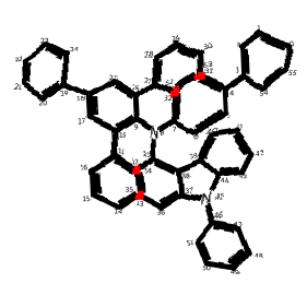 c1ccc(-c2ccc(N(c3c(-c4ccccc4)cc(-c4ccccc4)cc3-c3ccccc3)c3cccc4c3c3ccccc3n4-c3ccccc3)cc2)cc1